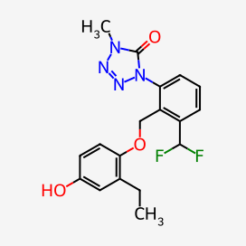 CCc1cc(O)ccc1OCc1c(C(F)F)cccc1-n1nnn(C)c1=O